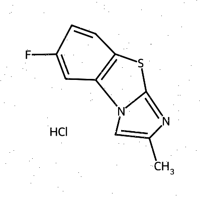 Cc1cn2c(n1)sc1ccc(F)cc12.Cl